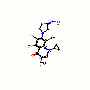 Nc1c(F)c(N2CC/C(=N/O)C2)c(F)c2c1c(=O)c(C(=O)O)cn2C1CC1